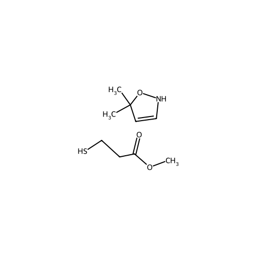 CC1(C)C=CNO1.COC(=O)CCS